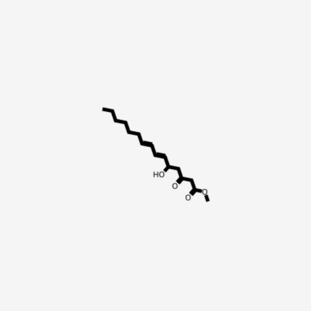 CCCCCCC=CC=CC(O)CC(=O)CC(=O)OC